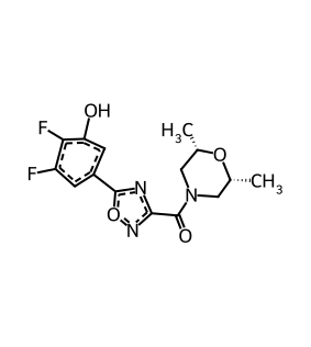 C[C@@H]1CN(C(=O)c2noc(-c3cc(O)c(F)c(F)c3)n2)C[C@H](C)O1